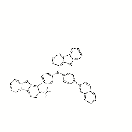 CS1(C)c2cc(N(c3ccc(-c4ccc5ccccc5c4)cc3)c3cccc4c3sc3ccccc34)ccc2-c2c1ccc1c2oc2ccccc21